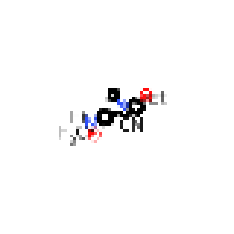 CCOc1ccc2c(c1)N(C1CCC1)C(c1ccc(N(CC)C(=O)C(F)(F)F)cc1)C2C#N